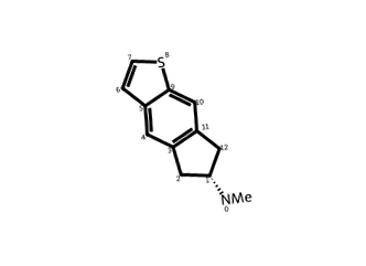 CN[C@@H]1Cc2cc3ccsc3cc2C1